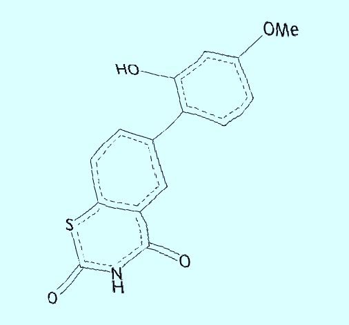 COc1ccc(-c2ccc3sc(=O)[nH]c(=O)c3c2)c(O)c1